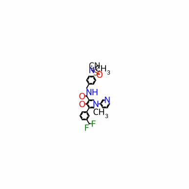 Cc1c(-c2cccc(C(F)F)c2)c(=O)c(C(=O)NCc2ccc(S(C)(=O)=NC#N)cc2)cn1-c1cccnc1